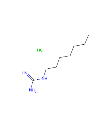 CCCCCC[CH]NC(=N)N.Cl